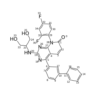 O=c1ccc2c(-c3cccc(-c4ccccc4)c3)nc(NC(CO)CO)nc2n1-c1ccc(F)cc1F